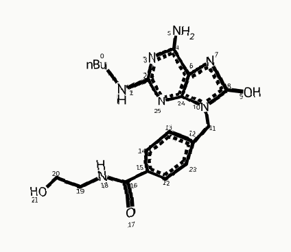 CCCCNc1nc(N)c2nc(O)n(Cc3ccc(C(=O)NCCO)cc3)c2n1